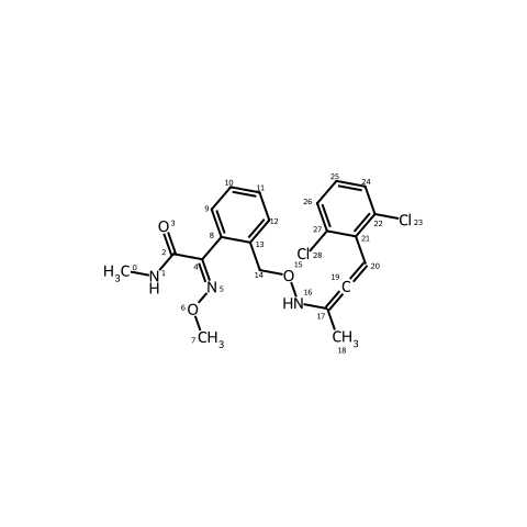 CNC(=O)C(=NOC)c1ccccc1CONC(C)=C=Cc1c(Cl)cccc1Cl